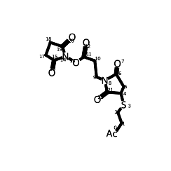 CC(=O)CCSC1CC(=O)N(CCC(=O)ON2C(=O)CCC2=O)C1=O